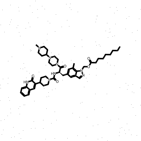 CCCCCCCCC(=O)OCn1ncc2cc(C[C@@H](NC(=O)N3CCC(c4cc5ccccc5[nH]c4=O)CC3)C(=O)N3CCN(C4CCN(C)CC4)CC3)cc(C)c21